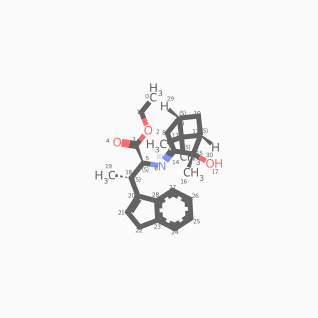 CCOC(=O)[C@@H](/N=C1\C[C@@H]2C[C@@H](C2(C)C)[C@]1(C)O)[C@@H](C)C1=CCc2ccccc21